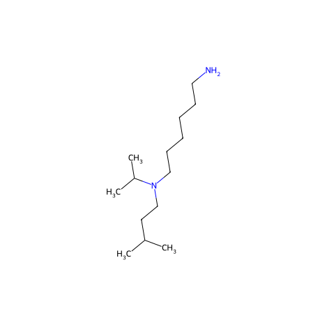 CC(C)CCN(CCCCCCN)C(C)C